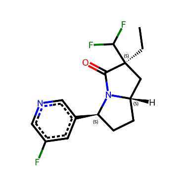 CC[C@]1(C(F)F)C[C@@H]2CC[C@@H](c3cncc(F)c3)N2C1=O